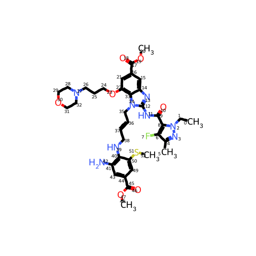 CCn1nc(C)c(F)c1C(=O)Nc1nc2cc(C(=O)OC)cc(OCCCN3CCOCC3)c2n1C/C=C/CNc1c(N)cc(C(=O)OC)cc1SC